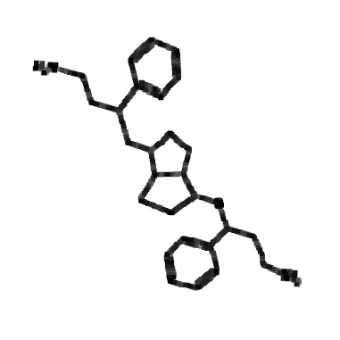 NCCC(CC1CCC2C(OC(CCN)c3ccccc3)CCC12)c1ccccc1